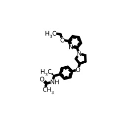 CCOc1cccc(N2CCC(Oc3ccc([C@H](C)NC(C)=O)cc3)C2)n1